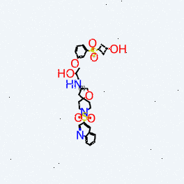 O=S(=O)(c1cccc(OCC(O)CN[C@H]2COC3(CCN(S(=O)(=O)c4cnc5ccccc5c4)CC3)C2)c1)C1CC(O)C1